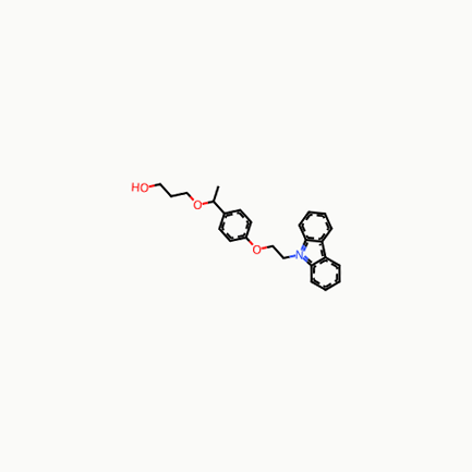 CC(OCCCO)c1ccc(OCCn2c3ccccc3c3ccccc32)cc1